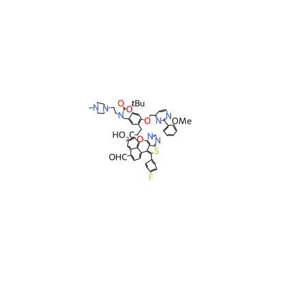 COc1ccccc1-c1nccc(COc2ccc(CN(CCN3CCN(C)CC3)C(=O)OC(C)(C)C)cc2CC(Oc2ncnc3sc(-c4ccc(F)cc4)c(-c4ccc(C=O)c5ccccc45)c23)C(=O)O)n1